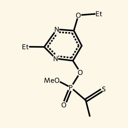 CCOc1cc(OP(=O)(OC)C(C)=S)nc(CC)n1